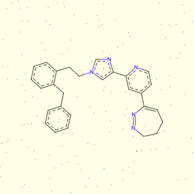 C1=C(c2ccnc(-c3cn(CCc4ccccc4Cc4ccccc4)cn3)c2)N=NCCC1